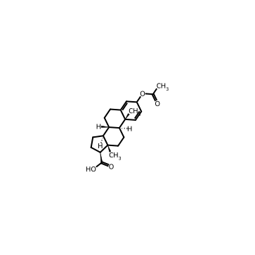 CC(=O)OC1C=C[C@@]2(C)C(=C1)CC[C@H]1[C@@H]3CC[C@H](C(=O)O)[C@@]3(C)CC[C@@H]12